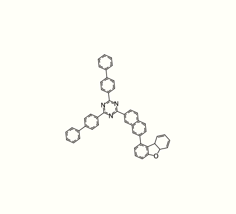 C1=CC2Oc3cccc(-c4ccc5ccc(-c6nc(-c7ccc(-c8ccccc8)cc7)nc(-c7ccc(-c8ccccc8)cc7)n6)cc5c4)c3C2C=C1